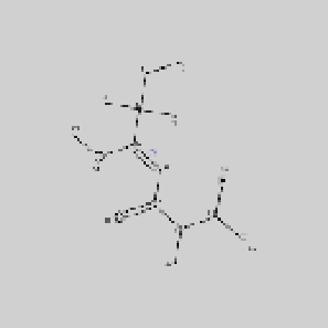 CCC(C)(C)/C(=C/C(=O)C(C)C(F)F)OC